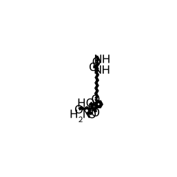 CNOCC(=O)NCCCCCCCCCCOc1cccc2c1C(O)N(C(CCC=O)C(N)=O)C2=O